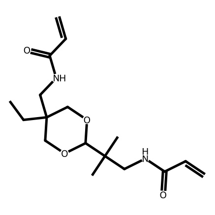 C=CC(=O)NCC1(CC)COC(C(C)(C)CNC(=O)C=C)OC1